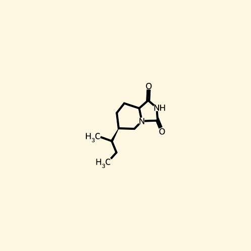 CCC(C)[C@H]1CCC2C(=O)NC(=O)N2C1